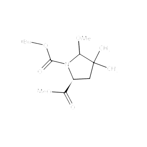 COC(=O)[C@@H]1CC(C)(C)C(OC)N1C(=O)OC(C)(C)C